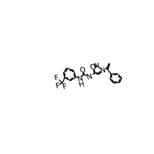 C=C(c1ccccc1)[n+]1cc([N-]C(=O)Nc2cccc(C(F)(F)F)c2)on1